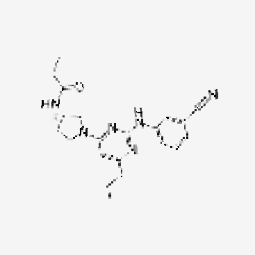 CCCc1cc(N2CC[C@H](NC(=O)CC)C2)nc(Nc2cccc(C#N)c2)n1